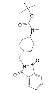 CN(C(=O)OC(C)(C)C)[C@H]1CC[C@H](CN2C(=O)c3ccccc3C2=O)CC1